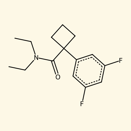 CCN(CC)C(=O)C1(c2cc(F)cc(F)c2)CCC1